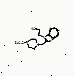 CCOC(=O)N1CCN(Cc2nc3cccnc3n2CCO)CC1